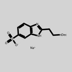 CCCCCCCCCCCCc1nc2ccc(S(=O)(=O)[O-])cc2[nH]1.[Na+]